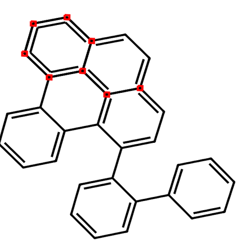 c1ccc(-c2ccccc2-c2cccc(-c3ccccc3)c2-c2ccccc2-c2cccc3ccccc23)cc1